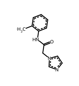 [CH2]c1ccccc1NC(=O)Cn1ccnc1